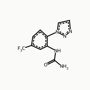 NC(=O)Nc1cc(C(F)(F)F)ccc1-n1ccnn1